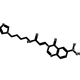 C[S+]([O-])c1ccc2ncn(C=CC(=O)NCCCCn3ccnc3)c(=O)c2c1